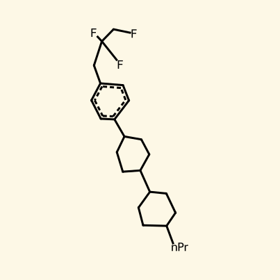 CCCC1CCC(C2CCC(c3ccc(CC(F)(F)CF)cc3)CC2)CC1